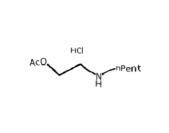 CCCCCNCCOC(C)=O.Cl